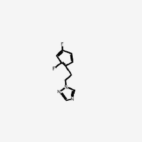 Fc1ccc(C[CH]n2cncn2)c(F)c1